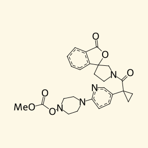 COC(=O)ON1CCN(c2ccc(C3(C(=O)N4CCC5(C4)OC(=O)c4ccccc45)CC3)cn2)CC1